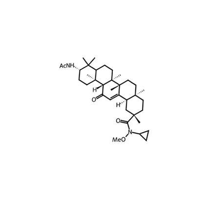 CON(C(=O)[C@@]1(C)CC[C@]2(C)CC[C@]3(C)C(=CC(=O)[C@@H]4[C@@]5(C)CC[C@H](NC(C)=O)C(C)(C)C5CC[C@]43C)[C@@H]2C1)C1CC1